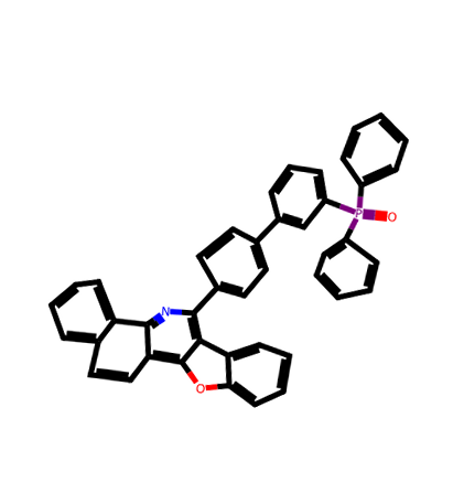 O=P(c1ccccc1)(c1ccccc1)c1cccc(-c2ccc(-c3nc4c5ccccc5ccc4c4oc5ccccc5c34)cc2)c1